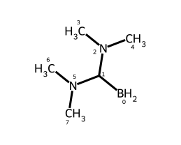 BC(N(C)C)N(C)C